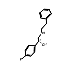 O[C@@H](CNCCc1ccccc1)c1ccc(F)cc1